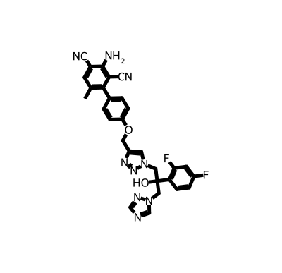 Cc1cc(C#N)c(N)c(C#N)c1-c1ccc(OCc2cn(CC(O)(Cn3cncn3)c3ccc(F)cc3F)nn2)cc1